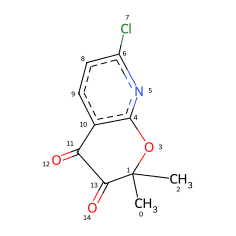 CC1(C)Oc2nc(Cl)ccc2C(=O)C1=O